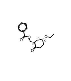 CCO[C@@H]1CCC(=O)[C@@H](COC(=O)c2ccccc2)O1